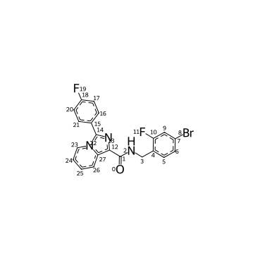 O=C(NCc1ccc(Br)cc1F)c1nc(-c2ccc(F)cc2)n2ccccc12